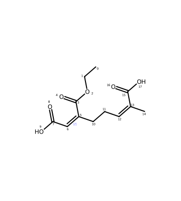 CCOC(=O)/C(=C\C(=O)O)CCC=C(C)C(=O)O